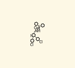 Clc1ccc(-c2cc(CN/C(=N/Sc3ccccc3)Oc3ccccc3)cnc2-c2ccc(Cl)cc2)cc1